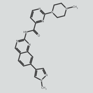 CN1CCN(c2nccc(C(=O)Nc3ncc4ccc(-c5cnn(C)c5)cc4n3)n2)CC1